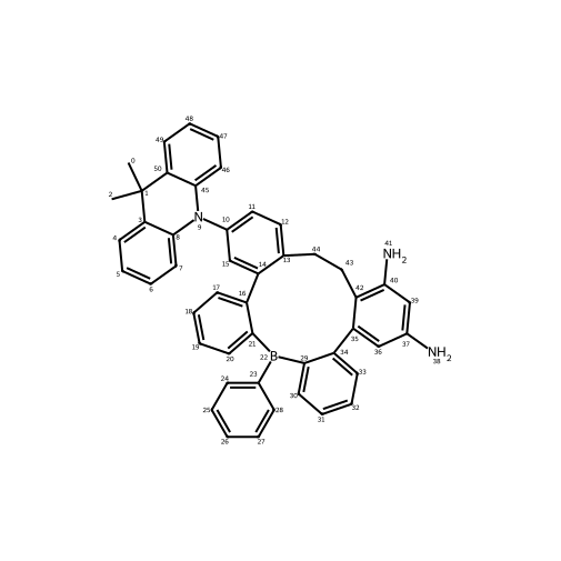 CC1(C)c2ccccc2N(c2ccc3c(c2)-c2ccccc2B(c2ccccc2)c2ccccc2-c2cc(N)cc(N)c2CC3)c2ccccc21